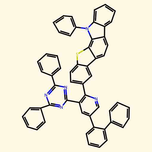 c1ccc(-c2nc(-c3ccccc3)nc(-c3cc(-c4ccccc4-c4ccccc4)cnc3-c3ccc4sc5c(ccc6c7ccccc7n(-c7ccccc7)c65)c4c3)n2)cc1